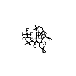 CC1(CC(NC(=O)C(NC(=O)C(F)(F)F)C(C)(C)C)C(=O)NC(C#N)CC2CCC(C)(C)NC2=O)CC1